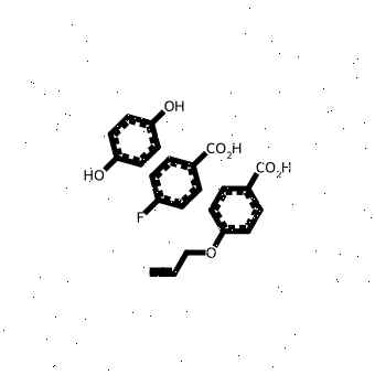 C=CCOc1ccc(C(=O)O)cc1.O=C(O)c1ccc(F)cc1.Oc1ccc(O)cc1